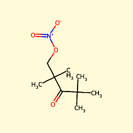 CC(C)(C)C(=O)C(C)(C)CO[N+](=O)[O-]